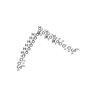 O.O.O.O.O.O.O.O.O.O.O.O.[Cl-].[Cl-].[Cl-].[Cl-].[Cl-].[Cl-].[Gd+3].[Gd+3]